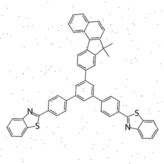 CC1(C)c2cc(-c3cc(-c4ccc(-c5nc6ccccc6s5)cc4)cc(-c4ccc(-c5nc6ccccc6s5)cc4)c3)ccc2-c2c1ccc1ccccc21